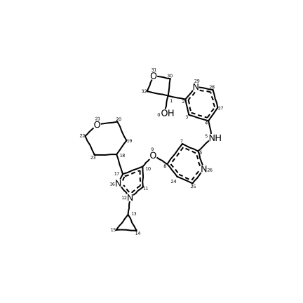 OC1(c2cc(Nc3cc(Oc4cn(C5CC5)nc4C4CCOCC4)ccn3)ccn2)COC1